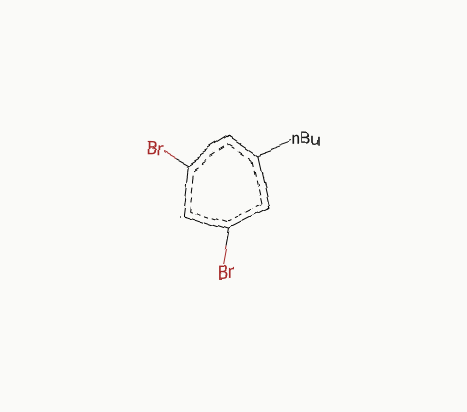 CCCCc1cc(Br)[c]c(Br)c1